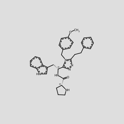 COc1ccc(Cn2c(CCc3ccccc3)nnc2[C@@H](Cc2c[nH]c3ccccc23)NC(=O)[C@H]2CCCN2)cc1